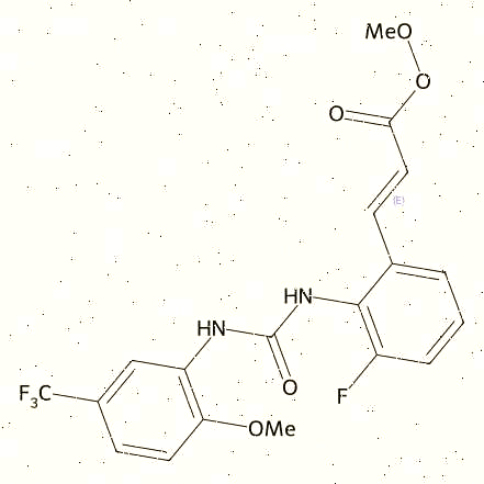 COOC(=O)/C=C/c1cccc(F)c1NC(=O)Nc1cc(C(F)(F)F)ccc1OC